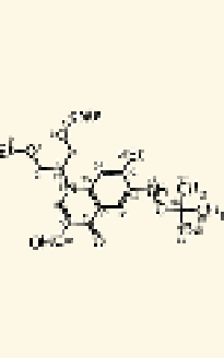 CCOC[C@@H](COSC)n1cc(C=O)c(=O)c2cc(BOC(C)(C)C(C)(C)C)c(CC)cc21